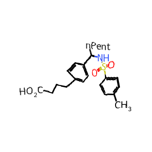 CCCCCC(NS(=O)(=O)c1ccc(C)cc1)c1ccc(CCCC(=O)O)cc1